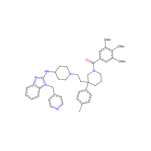 COc1cc(C(=O)N2CCCC(CCN3CCC(Nc4nc5ccccc5n4Cc4ccncc4)CC3)(c3ccc(F)cc3)C2)cc(OC)c1OC